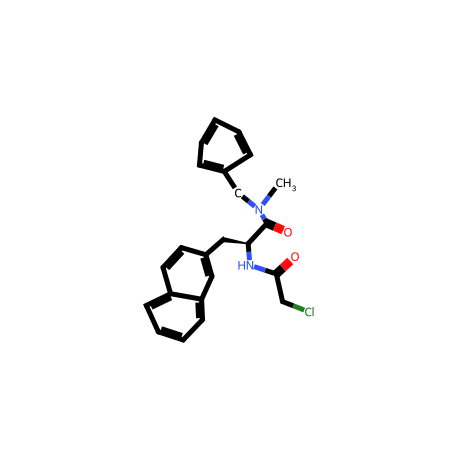 CN(Cc1ccccc1)C(=O)[C@H](Cc1ccc2ccccc2c1)NC(=O)CCl